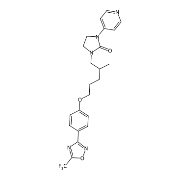 CC(CCCOc1ccc(-c2noc(C(F)(F)F)n2)cc1)CN1CCN(c2ccncc2)C1=O